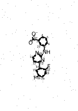 O=[N+]([O-])c1cccc(Nc2nccc(-c3cc(F)ccc3F)n2)c1